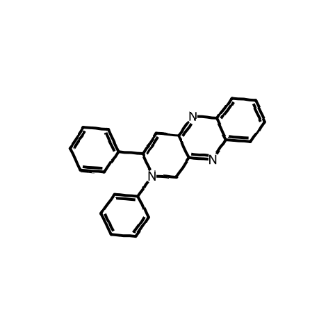 C1=C(c2ccccc2)N(c2ccccc2)Cc2nc3ccccc3nc21